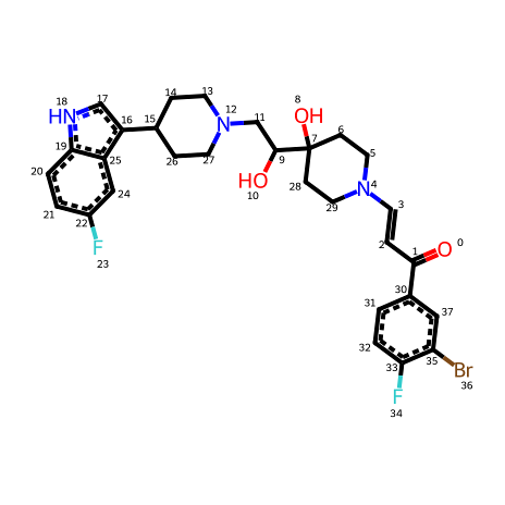 O=C(C=CN1CCC(O)(C(O)CN2CCC(c3c[nH]c4ccc(F)cc34)CC2)CC1)c1ccc(F)c(Br)c1